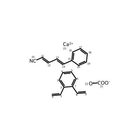 C=Cc1ccccc1C=C.N#CC=CC=Cc1ccccc1.O=C([O-])[O-].[Ca+2]